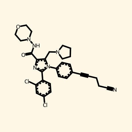 N#CCCC#Cc1ccc(-n2c(-c3ccc(Cl)cc3Cl)nc(C(=O)NN3CCOCC3)c2CN2CCCC2)cc1